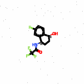 O=C(N[C@H]1CC[C@@H](O)c2ccc(F)cc21)C(F)(F)F